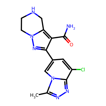 Cc1nnc2c(Cl)cc(-c3nn4c(c3C(N)=O)CNCC4)cn12